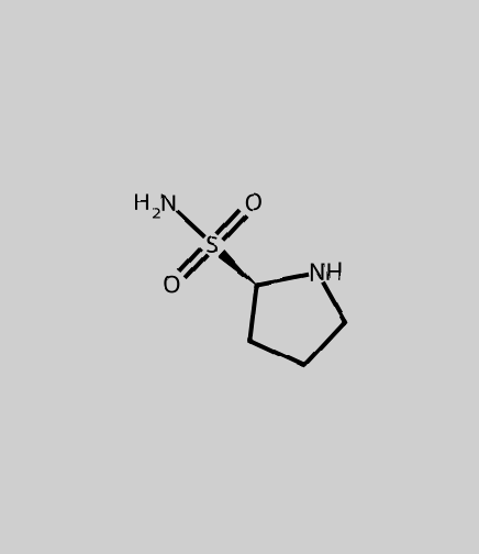 NS(=O)(=O)[C@@H]1CCCN1